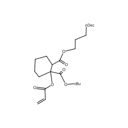 C=CC(=O)OC1(C(=O)OCCCC)CCCCC1C(=O)OCCCCCCCCCCCCC